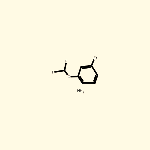 CCc1cccc(OC(F)F)c1.N